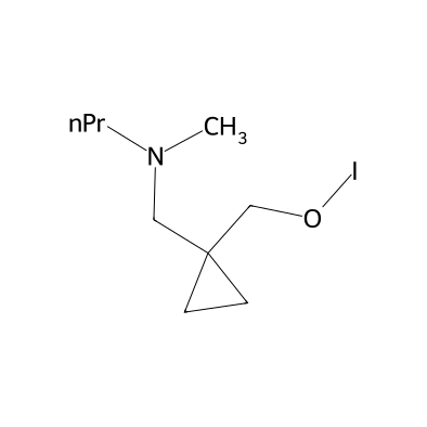 CCCN(C)CC1(COI)CC1